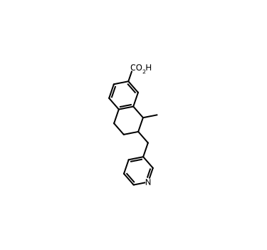 CC1c2cc(C(=O)O)ccc2CCC1Cc1cccnc1